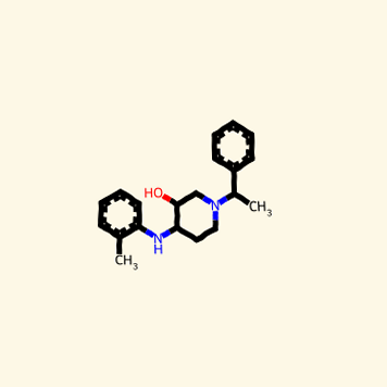 Cc1ccccc1NC1CCN(C(C)c2ccccc2)CC1O